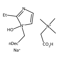 CCCCCCCCCCC[N+]1(O)C=CN=C1CC.C[N+](C)(C)CC(=O)O.[Na+]